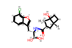 O=C(N[C@@H](Cc1coc2c(Cl)cccc12)B(O)O)[C@@H]1C[C@H]2CCC2(O)[SiH2]1